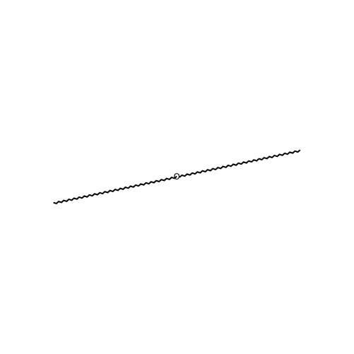 CCCCCCCCCCCCCCCCCCCCCCCCCCCCCCCCCCCCCCCCCCCCCCCCOCCCCCCCCCCCCCCCCCCCCCCCCCCCCCCCCCCCCCCCCCCCCCCCC